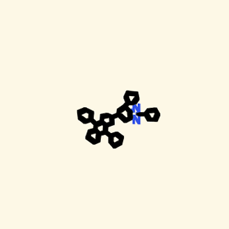 c1ccc(-c2c3ccccc3c(-c3ccccc3)c3cc(-c4cc5nc(-c6ccccc6)n6c7ccccc7c(c4)c56)ccc23)cc1